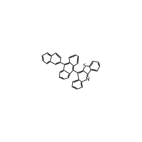 c1ccc2cc(-c3c4ccccc4c(-c4c5ccccc5nc5c4sc4ccccc45)c4ccccc34)ccc2c1